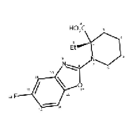 CC[C@@]1(C(=O)O)CCCCN1c1nc2cc(F)ccc2o1